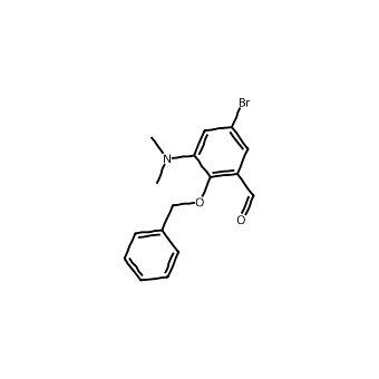 CN(C)c1cc(Br)cc(C=O)c1OCc1ccccc1